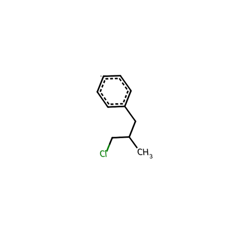 CC(CCl)Cc1cc[c]cc1